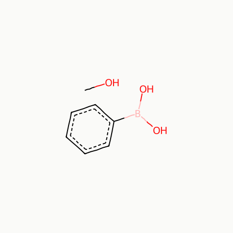 CO.OB(O)c1ccccc1